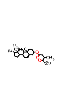 CC(=O)C1CCC2C3CC=C4CC(OC(=O)CC(C)C(=O)C(C)(C)C)CCC4(C)C3CCC12C